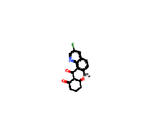 O=C1CCCC(=O)C1C(=O)c1c([N+](=O)[O-])ccc2cc(Cl)cnc12